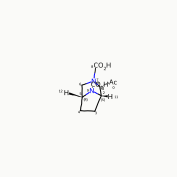 CC(=O)[C@@H]1[C@@H]2CC[C@H](CN1C(=O)O)N2C(=O)O